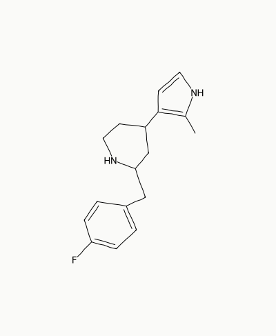 Cc1[nH]ccc1C1CCNC(Cc2ccc(F)cc2)C1